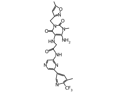 Cc1cc(Cn2c(=O)c(NCC(=O)Nc3cncc(-c4cnc(C(F)(F)F)c(C)c4)n3)c(N)n(C)c2=O)no1